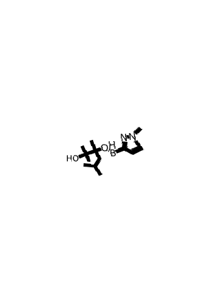 CC(C)CC(C)(OBc1ccn(C)n1)C(C)(C)O